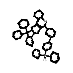 O=P(c1ccccc1)(c1ccccc1)c1ccc(-c2cccc(-c3nc4ccccc4c4cc5c(cc34)-c3ccccc3C5(c3ccccc3)c3ccccc3)c2)cc1